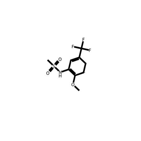 COC1=C(NS(C)(=O)=O)C=C(C(F)(F)F)C[CH]1